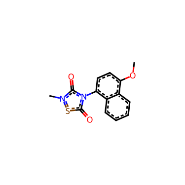 COc1ccc(-n2c(=O)sn(C)c2=O)c2ccccc12